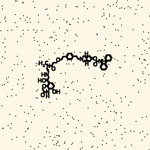 CN(CCNC[C@H](O)c1ccc(O)c2c1OCC(=O)N2)C(=O)CCOCCc1ccc(CCN2C[C@H]3C[C@H](OC(=O)Nc4ccccc4-c4ccccc4)C[C@H]3C2)cc1